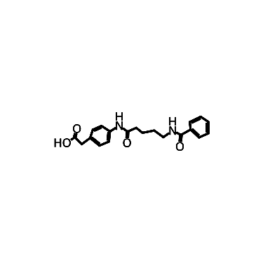 O=C(O)Cc1ccc(NC(=O)CCCCNC(=O)c2ccccc2)cc1